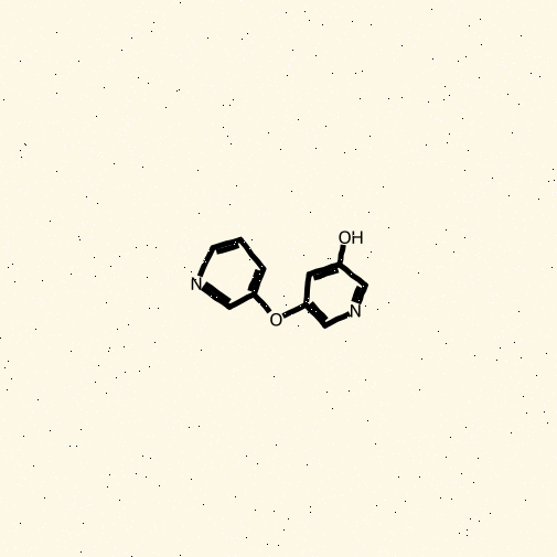 Oc1cncc(Oc2cccnc2)c1